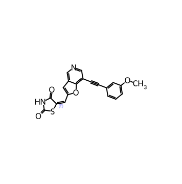 COc1cccc(C#Cc2cncc3cc(/C=C4/SC(=O)NC4=O)oc23)c1